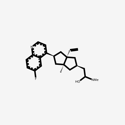 C=C[C@]12C[C@@H](CC(O)NC)C[C@@]1(C)C[C@@H](c1ccnc3ccc(F)cc13)C2